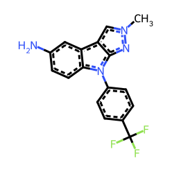 Cn1cc2c3cc(N)ccc3n(-c3ccc(C(F)(F)F)cc3)c2n1